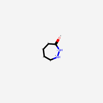 O=C1CCCCNN1